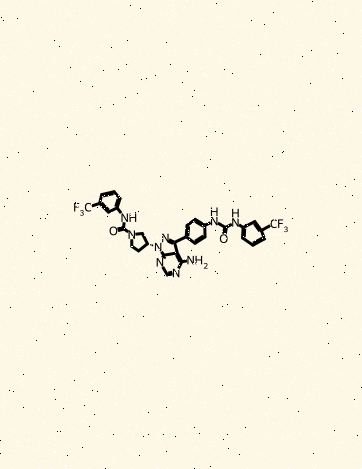 Nc1ncnc2c1c(-c1ccc(NC(=O)Nc3cccc(C(F)(F)F)c3)cc1)nn2[C@@H]1CCN(C(=O)Nc2cccc(C(F)(F)F)c2)C1